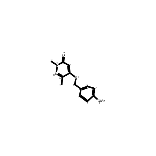 COc1ccc(CSc2cc(=O)n(C)nc2C)cc1